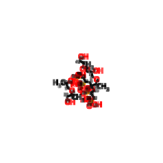 CC(O)COC(C)C(O)(CC(CP(=O)(O)O)P(=O)(O)O)CC(CP(=O)(O)O)P(=O)(O)O.CC(O)COC(C)CO.OCCO